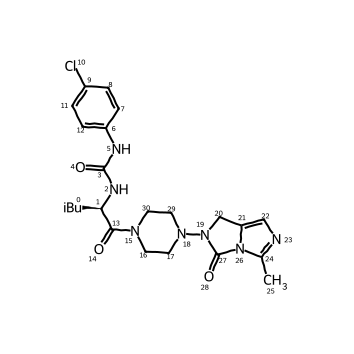 CCC(C)[C@@H](NC(=O)Nc1ccc(Cl)cc1)C(=O)N1CCN(N2Cc3cnc(C)n3C2=O)CC1